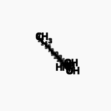 CCCCCCCC/C=C/CCCCCCC(O)NC(=O)O